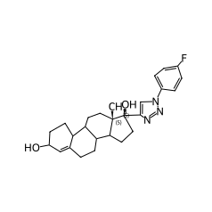 C[C@]12CCC3C4CCC(O)C=C4CCC3C1CC[C@@]2(O)c1cn(-c2ccc(F)cc2)nn1